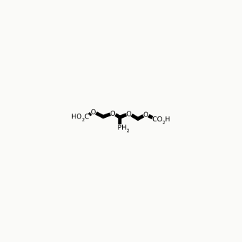 O=C(O)OCOC(P)OCOC(=O)O